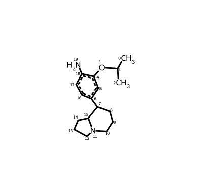 CC(C)Oc1cc(C2CCCN3CCCC23)ccc1N